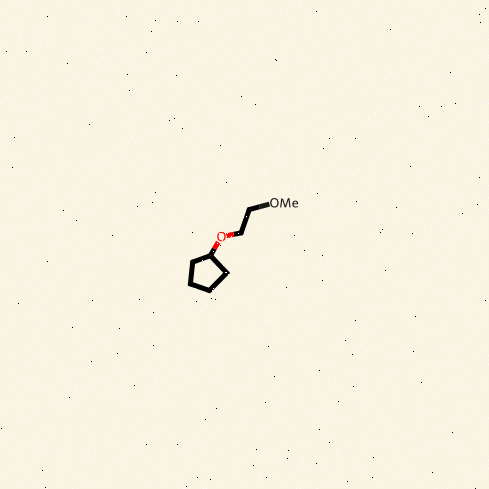 [CH2]OCCOC1CCCC1